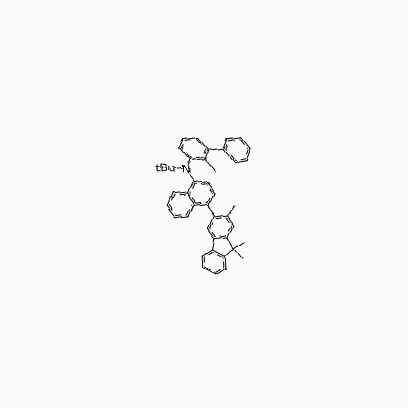 Cc1cc2c(cc1-c1ccc(N(c3cccc(-c4ccccc4)c3C)C(C)(C)C)c3ccccc13)-c1ccccc1C2(C)C